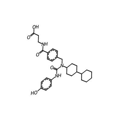 O=C(O)CCNC(=O)c1ccc(CN(C(=O)Nc2ccc(O)cc2)C2CCC(C3CCCCC3)CC2)cc1